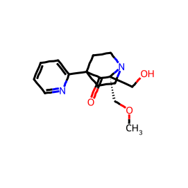 COC[C@]1(CO)C(=O)C2(c3ccccn3)CCN1CC2